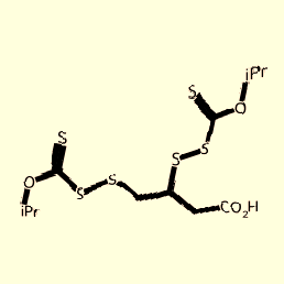 CC(C)OC(=S)SSCC(CC(=O)O)SSC(=S)OC(C)C